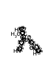 Cc1cc(CC(OC(=O)N2CCC(N3CCc4ccccc4NC3=O)CC2)C(=O)N2CCC(N3CCNCC3)CC2)cc2c1NCCO2